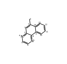 Cc1cc2nccnc2c2ccccc12